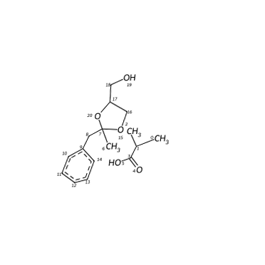 CC(C)C(=O)O.CC1(Cc2ccccc2)OCC(CO)O1